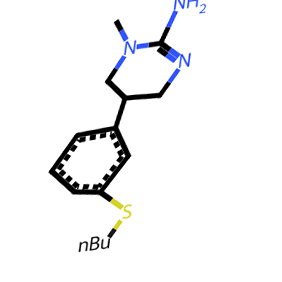 CCCCSc1cccc(C2CN=C(N)N(C)C2)c1